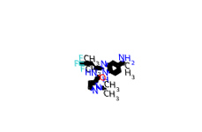 CC(N)c1ccc2[nH]c([C@H](CC(C)(C)C(F)(F)F)NC(=O)c3ccnn3C(C)C)nc2c1